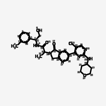 Cc1cccc([C@@H](CO)NC(=O)C(C)N2Cc3ncc(-c4nc(NC5CCOCC5)ncc4Cl)cc3C2=O)c1